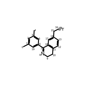 Cc1cc(C)cc(C2=NCCc3ccc(CC(C)C)cc32)c1